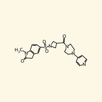 CN1C(=O)Cc2cc(S(=O)(=O)N3CC(C(=O)N4CCN(c5ccncc5)CC4)C3)ccc21